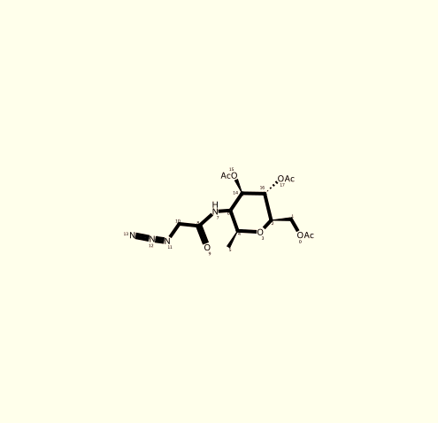 CC(=O)OC[C@H]1O[C@@H](C)C(NC(=O)CN=[N+]=[N-])[C@@H](OC(C)=O)[C@@H]1OC(C)=O